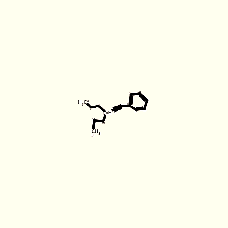 CCC[SiH](C#Cc1ccccc1)CCC